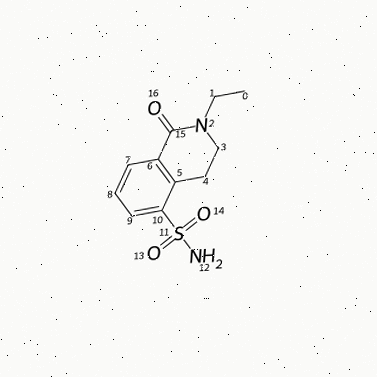 CCN1CCc2c(cccc2S(N)(=O)=O)C1=O